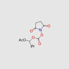 CC(=O)OC(OC(=O)ON1C(=O)CCC1=O)C(C)C